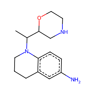 CC(C1CNCCO1)N1CCCc2cc(N)ccc21